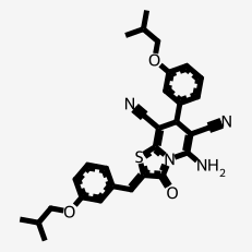 CC(C)COc1cccc(C=c2sc3n(c2=O)C(N)=C(C#N)C(c2cccc(OCC(C)C)c2)C=3C#N)c1